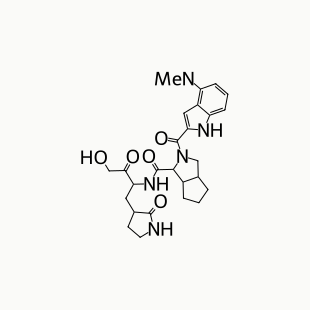 CNc1cccc2[nH]c(C(=O)N3CC4CCCC4C3C(=O)NC(CC3CCNC3=O)C(=O)CO)cc12